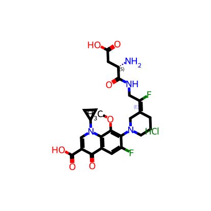 COc1c(N2CCC/C(=C(\F)CNC(=O)[C@@H](N)CC(=O)O)C2)c(F)cc2c(=O)c(C(=O)O)cn(C3CC3)c12.Cl